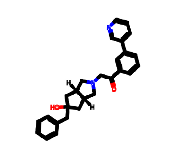 O=C(CN1C[C@@H]2CC(O)(Cc3ccccc3)C[C@@H]2C1)c1cccc(-c2cccnc2)c1